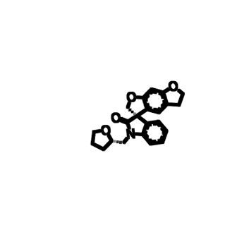 O=C1N(C[C@@H]2CCCO2)c2ccccc2[C@@]12COc1cc3c(cc12)CCO3